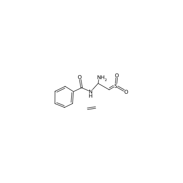 C=C.NC(C=S(=O)=O)NC(=O)c1ccccc1